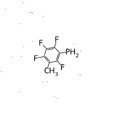 Cc1c(F)c(F)c(F)c(P)c1F